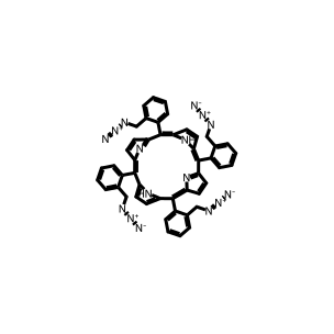 [N-]=[N+]=NCc1ccccc1-c1c2nc(c(-c3ccccc3CN=[N+]=[N-])c3ccc([nH]3)c(-c3ccccc3CN=[N+]=[N-])c3nc(c(-c4ccccc4CN=[N+]=[N-])c4ccc1[nH]4)C=C3)C=C2